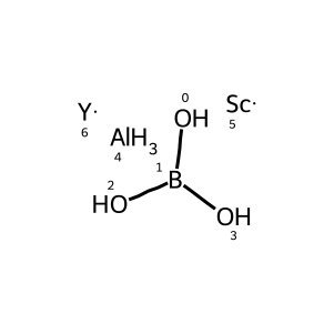 OB(O)O.[AlH3].[Sc].[Y]